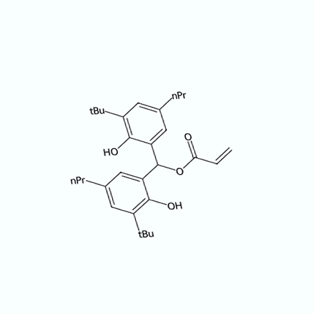 C=CC(=O)OC(c1cc(CCC)cc(C(C)(C)C)c1O)c1cc(CCC)cc(C(C)(C)C)c1O